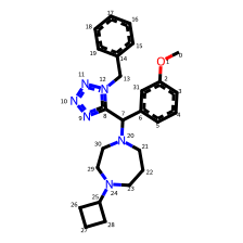 COc1cccc(C(c2nnnn2Cc2ccccc2)N2CCCN(C3CCC3)CC2)c1